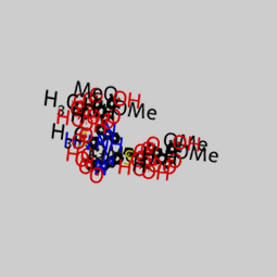 CC[C@@]1(O)C(=O)OCc2c1cc1n(c2=O)Cc2cc3ccccc3nc2-1.COc1cc(NS(C)(=O)=O)ccc1Nc1c2ccccc2nc2ccccc12.COc1cc([C@@H]2c3cc4c(cc3C(O[C@@H]3O[C@@H]5COC(c6cccs6)O[C@H]5[C@H](O)[C@H]3O)C3COC(=O)[C@@H]32)OCO4)cc(OC)c1O.COc1cc([C@@H]2c3cc4c(cc3C(O[C@@H]3O[C@@H]5CO[C@@H](C)O[C@H]5[C@H](O)[C@H]3O)C3COC(=O)[C@@H]32)OCO4)cc(OC)c1O